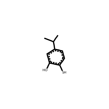 CC(C)c1ccc(S)c(O)c1